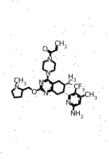 C=CC(=O)N1CCN(c2nc(OCC3CCCN3C)nc3c2C[C@@H](C)[C@H](c2nc(N)cc(C)c2C(F)(F)F)C3)CC1